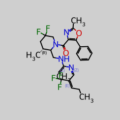 C\C=C(/N=C\C(=C/CC)C(F)(F)F)NCC1[C@H](C)CC(F)(F)CN1C(=O)c1nc(C)oc1-c1ccccc1